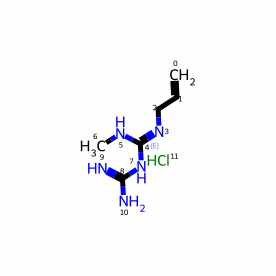 C=CC/N=C(\NC)NC(=N)N.Cl